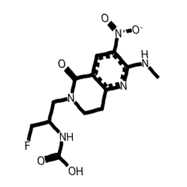 CNc1nc2c(cc1[N+](=O)[O-])C(=O)N(CC(CF)NC(=O)O)CC2